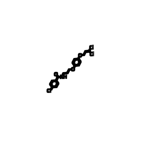 O=C(NCCCOc1ccc(OCC=C(Cl)Cl)cc1)c1ccc(Cl)cc1